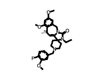 CCN1C(=O)N2Cc3cc(OC)cc(OC)c3[C@@H](C)C=C2C12CCN(Cc1ccc(F)c(OC)c1)CC2